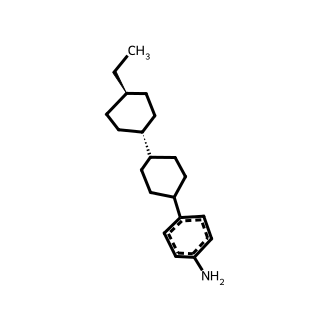 CC[C@H]1CC[C@H](C2CCC(c3ccc(N)cc3)CC2)CC1